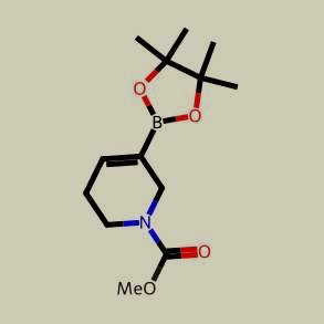 COC(=O)N1CCC=C(B2OC(C)(C)C(C)(C)O2)C1